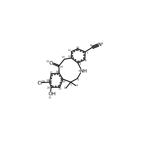 CC1(C)CNc2cc(C#N)ccc2CC(=O)c2cc(Cl)c(O)cc21